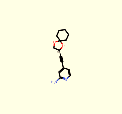 Nc1cc(C#C[C@H]2COC3(CCCCC3)O2)ccn1